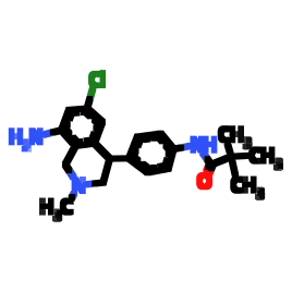 CN1Cc2c(N)cc(Cl)cc2C(c2ccc(NC(=O)C(C)(C)C)cc2)C1